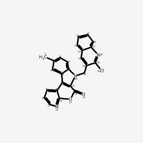 Cc1ccc2c(c1)c1c3cccnc3oc(=O)c1n2Cc1cc2ccccc2nc1Cl